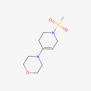 CS(=O)(=O)N1CC=C(N2CCOCC2)CC1